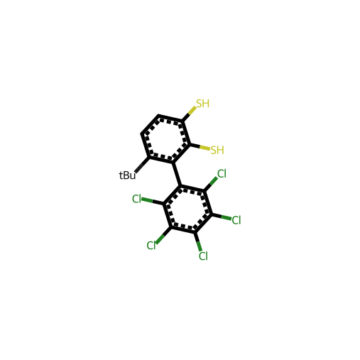 CC(C)(C)c1ccc(S)c(S)c1-c1c(Cl)c(Cl)c(Cl)c(Cl)c1Cl